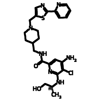 C[C@H](CO)Nc1nc(C(=O)NCC2CCN(Cc3cnc(-c4ccccn4)s3)CC2)cc(N)c1Cl